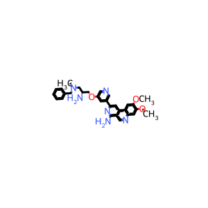 COc1cc2ncc3c(N)nc(-c4cncc(OC[C@H](N)CN(C)Cc5ccccc5)c4)cc3c2cc1OC